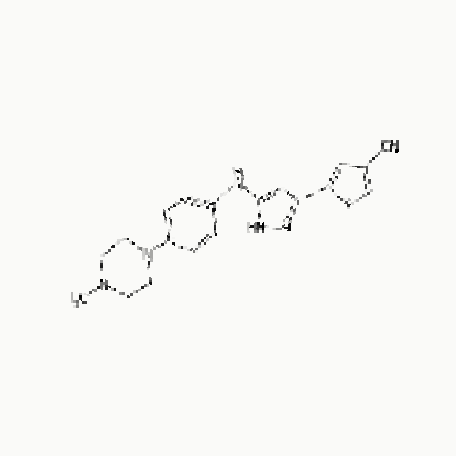 CN1CCN(c2ccc(Nc3cc(-c4cc(C#N)cs4)n[nH]3)cc2)CC1